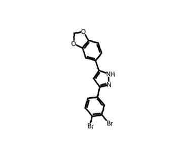 Brc1ccc(-c2cc(-c3ccc4c(c3)OCO4)[nH]n2)cc1Br